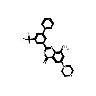 Cc1cc(N2CCOCC2)cc2c(=O)[nH]c(-c3cc(-c4ccccc4)cc(C(F)(F)F)c3)nc12